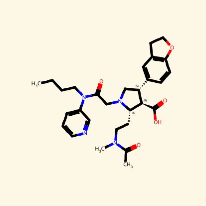 CCCCN(C(=O)CN1C[C@H](c2ccc3c(c2)CCO3)[C@@H](C(=O)O)[C@@H]1CCN(C)C(C)=O)c1cccnc1